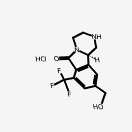 Cl.O=C1c2c(cc(CO)cc2C(F)(F)F)[C@@H]2CNCCN12